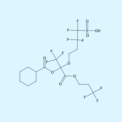 O=C(OC(OCCC(F)(F)C(F)(F)S(=O)(=O)O)(C(=O)OCCC(F)(F)F)C(F)(F)F)C1CCCCC1